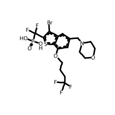 O=P(O)(O)C(F)(F)c1sc2c(OCCCC(F)(F)F)cc(CN3CCOCC3)cc2c1Br